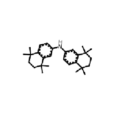 CC1(C)CCC(C)(C)c2cc(Nc3ccc4c(c3)C(C)(C)CCC4(C)C)ccc21